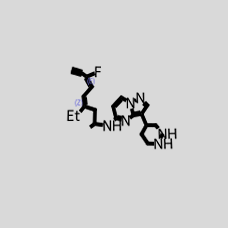 C#C/C(F)=C\C=C(\CC)CC(C)Nc1ccn2ncc(C3CCNNC3)c2n1